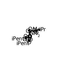 CCCC(C)OC(=O)Oc1cc(C[C@](N)(CCOC(=O)CCC(C)C)C(=O)OC)ccc1OC(=O)O[C@@H](C)CCC